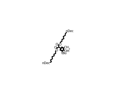 CCCCCCCCCCCCCCCCCCOC(=O)C(C(=O)OCCCCCCCCCCCCCCCCCC)c1cc(C)c(O)c(C(C)(C)C)c1